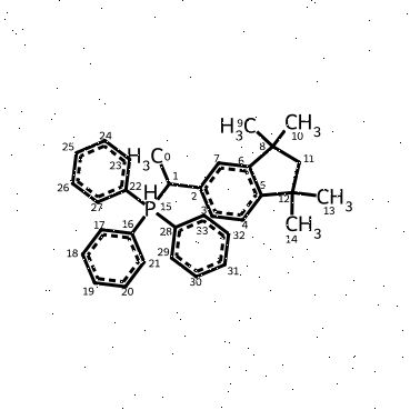 CC(c1ccc2c(c1)C(C)(C)CC2(C)C)[PH](c1ccccc1)(c1ccccc1)c1ccccc1